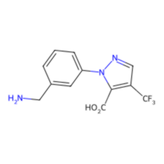 NCc1cccc(-n2ncc(C(F)(F)F)c2C(=O)O)c1